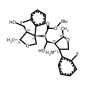 C[C@H]1OC[C@](c2ccccc2F)(N(C(=O)OC(C)(C)C)C(O)[C@H]2[C@@H](C)OC[C@@]2(N)c2ccccc2F)[C@@H]1CO